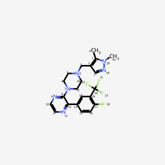 Cc1c(CN2CCN(c3nccnc3-c3ccc(F)c(C(F)(F)F)c3)CC2)cnn1C